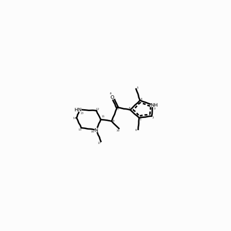 Cc1c[nH]c(C)c1C(=O)C(C)C1CNCCN1C